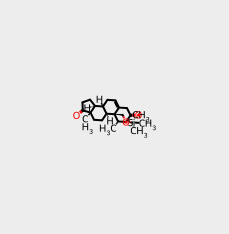 C[C@@H]1CC(=O)CC2=CC[C@@H]3[C@H](CC[C@]4(C)C(=O)CC[C@@H]34)[C@]21CO[Si](C)(C)C